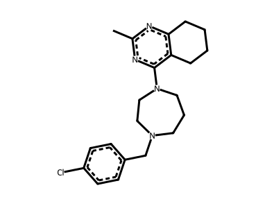 Cc1nc2c(c(N3CCCN(Cc4ccc(Cl)cc4)CC3)n1)CCCC2